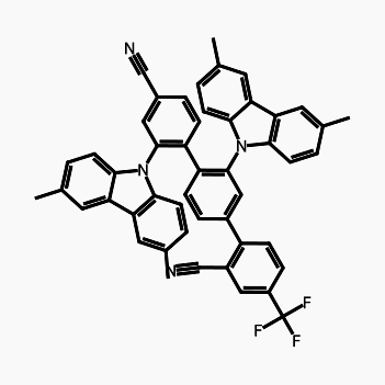 Cc1ccc2c(c1)c1cc(C)ccc1n2-c1cc(C#N)ccc1-c1ccc(-c2ccc(C(F)(F)F)cc2C#N)cc1-n1c2ccc(C)cc2c2cc(C)ccc21